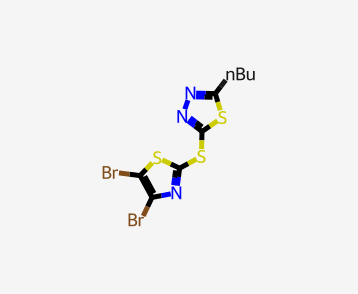 CCCCc1nnc(Sc2nc(Br)c(Br)s2)s1